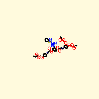 C=CC(=O)OCOc1ccc(/C=C/C(=O)Oc2ccc(OC(=O)/C=C/c3ccc(OCOC(=O)C=C)c(OCOC(=O)C=C)c3)c(/C=N/Nc3nc4ccccc4s3)c2)cc1